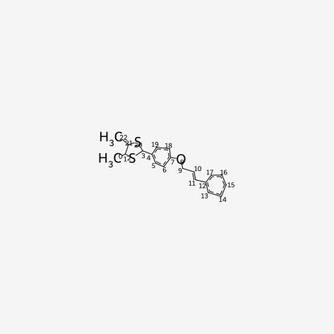 CC1SC(c2ccc(OCC=Cc3ccccc3)cc2)SC1C